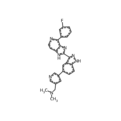 CN(C)Cc1cncc(-c2ccc3[nH]nc(-c4nc5c(-c6cccc(F)c6)nccc5[nH]4)c3c2)c1